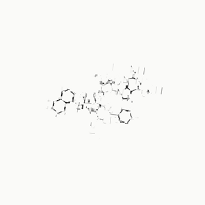 COc1nc(N)nc2c1ncn2C1O[C@H](COP(=O)(N[C@H](C(=O)OCc2ccccc2)C(C)C)Oc2cccc3ccccc23)[C@@H](O)[C@@]1(C)O